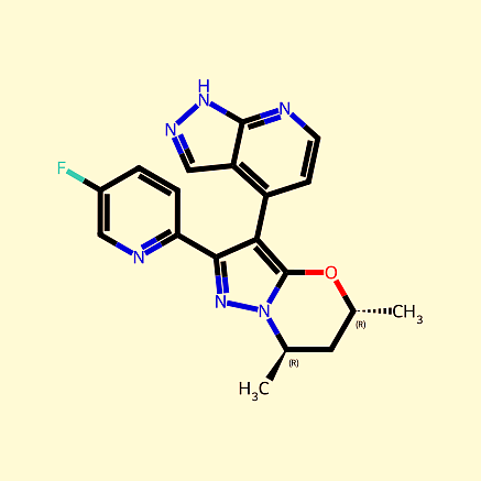 C[C@@H]1C[C@@H](C)n2nc(-c3ccc(F)cn3)c(-c3ccnc4[nH]ncc34)c2O1